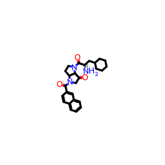 N[C@@H](CC1CCCCC1)C(=O)N1CCC2C1C(=O)CN2C(=O)c1ccc2ccccc2c1